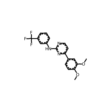 COc1ccc(-c2ccnc(Nc3cccc(C(F)(F)F)c3)n2)cc1OC